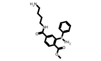 COC(=O)c1ccc(C(=O)NCCCCN)cc1P(P)c1ccccc1